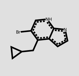 Brc1c[nH]c2nccc-2c1CC1CC1